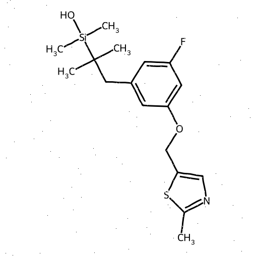 Cc1ncc(COc2cc(F)cc(CC(C)(C)[Si](C)(C)O)c2)s1